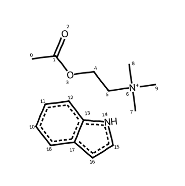 CC(=O)OCC[N+](C)(C)C.c1ccc2[nH]ccc2c1